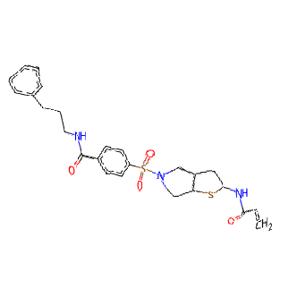 C=CC(=O)NC1CC2CN(S(=O)(=O)c3ccc(C(=O)NCCCc4ccccc4)cc3)CC2S1